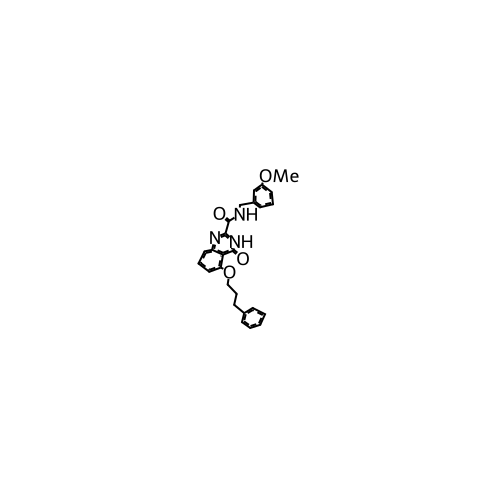 COc1cccc(CNC(=O)c2nc3cccc(OCCCc4ccccc4)c3c(=O)[nH]2)c1